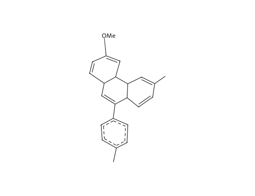 COC1=CC2C(C=C1)C=C(c1ccc(C)cc1)C1C=CC(C)=CC12